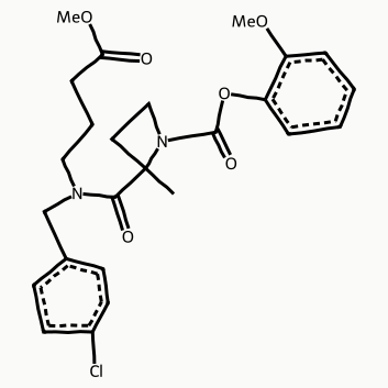 COC(=O)CCCN(Cc1ccc(Cl)cc1)C(=O)C1(C)CCN1C(=O)Oc1ccccc1OC